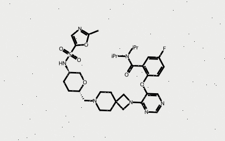 Cc1ncc(S(=O)(=O)N[C@@H]2CC[C@@H](CN3CCC4(CC3)CN(c3ncncc3Oc3ccc(F)cc3C(=O)N(C(C)C)C(C)C)C4)OC2)o1